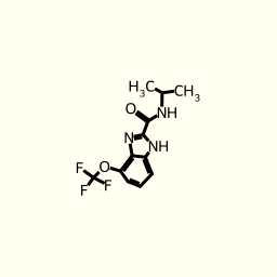 CC(C)NC(=O)c1nc2c(OC(F)(F)F)cccc2[nH]1